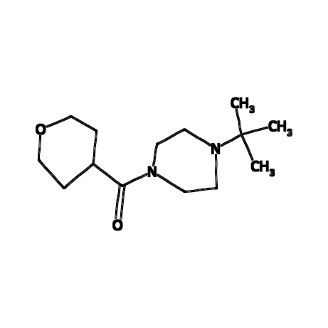 CC(C)(C)N1CCN(C(=O)C2CCOCC2)CC1